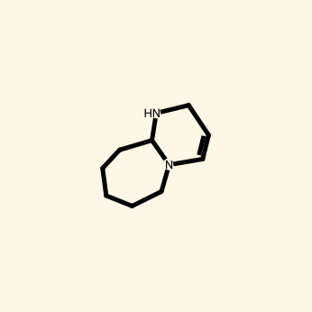 C1=CN2CCCCCC2NC1